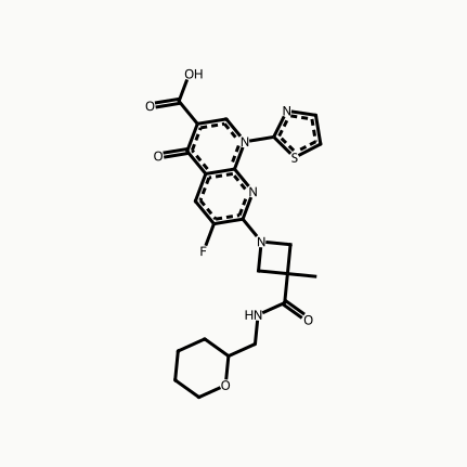 CC1(C(=O)NCC2CCCCO2)CN(c2nc3c(cc2F)c(=O)c(C(=O)O)cn3-c2nccs2)C1